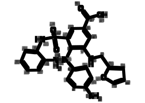 Nc1ccc(Nc2c(NCc3ccco3)cc(C(=O)O)cc2S(=O)(=O)Nc2ccccc2N)cc1